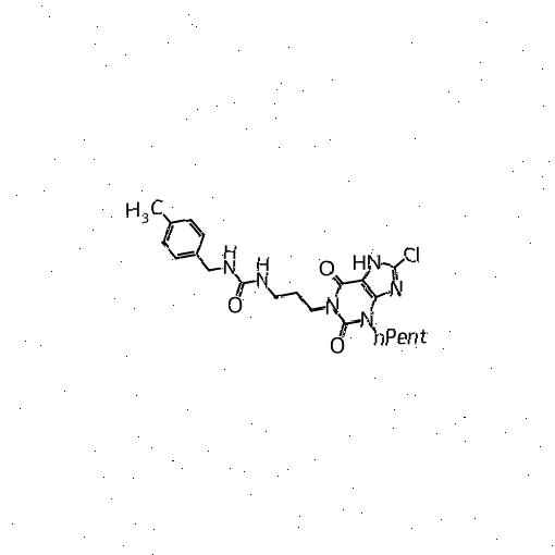 CCCCCn1c(=O)n(CCCNC(=O)NCc2ccc(C)cc2)c(=O)c2[nH]c(Cl)nc21